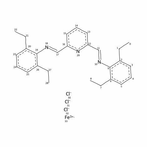 CCc1cccc(CC)c1N=Cc1cccc(C=Nc2c(CC)cccc2CC)n1.[Cl-].[Cl-].[Cl-].[Fe+3]